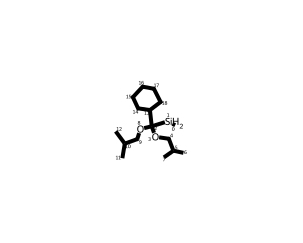 C[SiH2]C(OCC(C)C)(OCC(C)C)C1CCCCC1